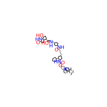 C[N+]1(C)CCC(OC(=O)Nc2ccc(CCCC(=O)Nc3ccc(CNC[C@H](O)c4ccc(O)c5[nH]c(=O)ccc45)cc3)cc2-c2ccccc2)CC1